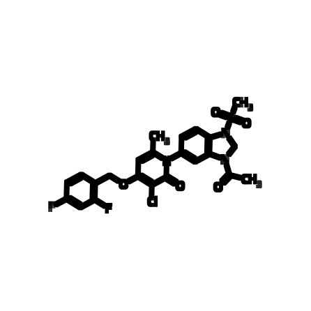 CC(=O)N1CN(S(C)(=O)=O)c2ccc(-n3c(C)cc(OCc4ccc(F)cc4F)c(Cl)c3=O)cc21